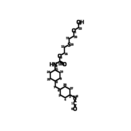 O=C=NC1CCC(CC2CCC(NC(=O)OCCSCCOCO)CC2)CC1